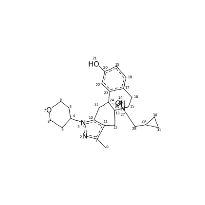 Cc1nn(C2CCOCC2)c2c1C[C@]1(O)C3Cc4ccc(O)cc4[C@]1(CCN3CC1CC1)C2